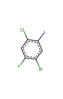 Fc1cc(Cl)c(I)cc1Br